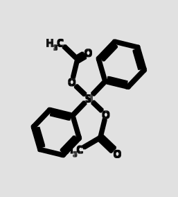 CC(=O)O[Si](OC(C)=O)(c1ccccc1)c1ccccc1